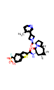 Cc1ccncc1C1CN(C(=O)[C@@H]2CC[C@@H]3C[C@H]4C[C@H]4C[C@H](NC(=O)c4cc5cc(C(F)P(=O)(O)O)ccc5s4)C(=O)N32)C1